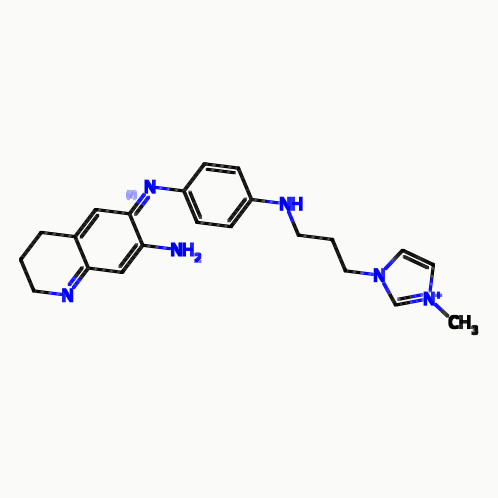 C[n+]1ccn(CCCNc2ccc(/N=C3/C=C4CCCN=C4C=C3N)cc2)c1